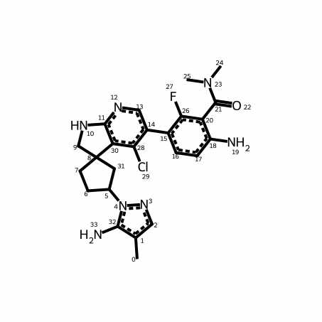 Cc1cnn(C2CCC3(CNc4ncc(-c5ccc(N)c(C(=O)N(C)C)c5F)c(Cl)c43)C2)c1N